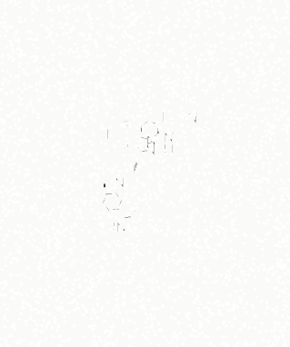 CNC(=O)c1ccc(OC)c(NCC#Cc2nn3c(N[C@@H]4CCN(C)C[C@@H]4F)cccc3c2SC(F)F)c1